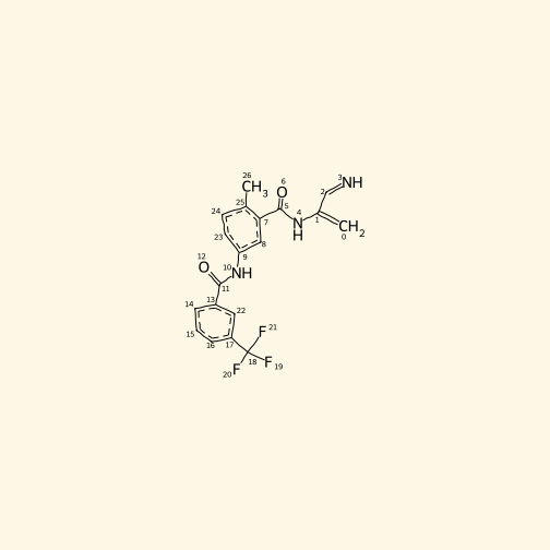 C=C(C=N)NC(=O)c1cc(NC(=O)c2cccc(C(F)(F)F)c2)ccc1C